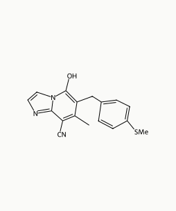 CSc1ccc(Cc2c(C)c(C#N)c3nccn3c2O)cc1